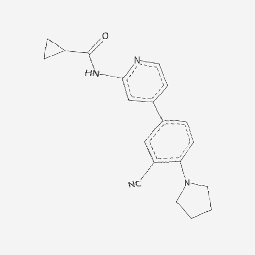 N#Cc1cc(-c2ccnc(NC(=O)C3CC3)c2)ccc1N1CCCC1